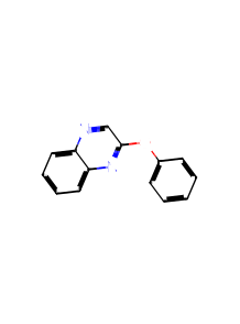 [c]1ccc(Oc2cnc3ccccc3n2)cc1